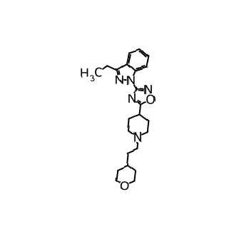 CCc1nn(-c2noc(C3CCN(CCC4CCOCC4)CC3)n2)c2ccccc12